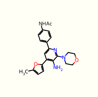 CC(=O)Nc1ccc(-c2cc(-c3ccc(C)o3)c(N)c(N3CCOCC3)n2)cc1